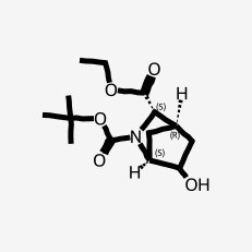 CCOC(=O)[C@@H]1[C@H]2CC(O)[C@H](C2)N1C(=O)OC(C)(C)C